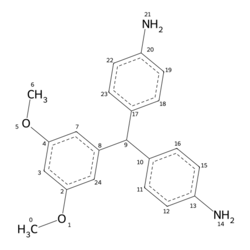 COc1cc(OC)cc(C(c2ccc(N)cc2)c2ccc(N)cc2)c1